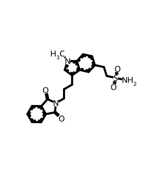 Cn1cc(CCCN2C(=O)c3ccccc3C2=O)c2cc(CCS(N)(=O)=O)ccc21